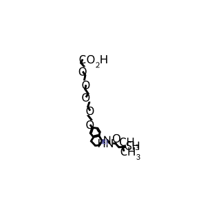 CC(C)(S)CC(=O)N/N=C1\CCCc2cc(OCCOCCOCCOCCOCCC(=O)O)ccc21